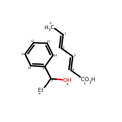 C/C=C/C=C/C(=O)O.CCC(O)c1ccccc1